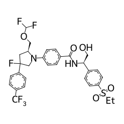 CCS(=O)(=O)c1ccc([C@H](CO)NC(=O)c2ccc(N3CC(F)(c4ccc(C(F)(F)F)cc4)C[C@H]3COC(F)F)cc2)cc1